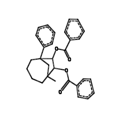 CC12CCCCC(c3ccccc3)(C1)C(OC(=O)c1ccccc1)C2OC(=O)c1ccccc1